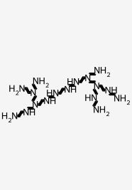 NCCNCCN(CCNCCNCCNCCNCCN(CCN)CCN(CCNCCN)CCNCCN)CCN(CCN)CCN